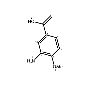 C=C(O)c1ccc(OC)c(N)c1